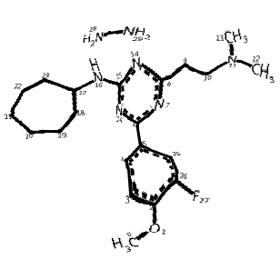 COc1ccc(-c2nc(CCN(C)C)nc(NC3CCCCCC3)n2)cc1F.NN